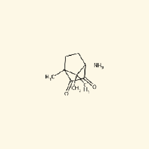 CC12CCC(C(=O)C1=O)C2(C)C.N